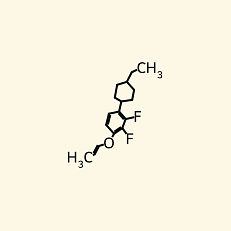 C/C=C/Oc1ccc(C2CCC(CC)CC2)c(F)c1F